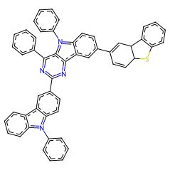 C1=CC2Sc3ccccc3C2C=C1c1ccc2c(c1)c1nc(-c3ccc4c(c3)c3ccccc3n4-c3ccccc3)nc(-c3ccccc3)c1n2-c1ccccc1